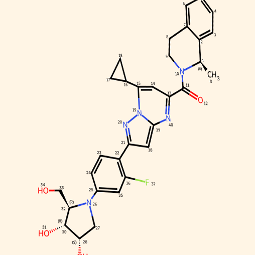 C[C@@H]1c2ccccc2CCN1C(=O)c1cc(C2CC2)n2nc(-c3ccc(N4C[C@H](O)[C@H](O)[C@H]4CO)cc3F)cc2n1